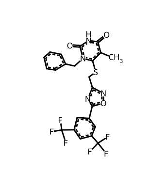 Cc1c(SCc2noc(-c3cc(C(F)(F)F)cc(C(F)(F)F)c3)n2)n(Cc2ccccc2)c(=O)[nH]c1=O